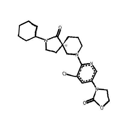 O=C1OCCN1c1cnc(N2CCC[C@]3(CCN(C4CCCCC4)C3=O)C2)c(Cl)c1